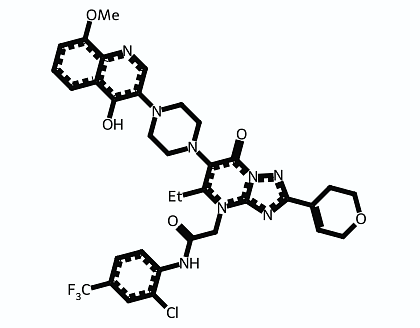 CCc1c(N2CCN(c3cnc4c(OC)cccc4c3O)CC2)c(=O)n2nc(C3=CCOCC3)nc2n1CC(=O)Nc1ccc(C(F)(F)F)cc1Cl